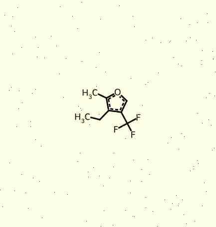 CCc1c(C(F)(F)F)coc1C